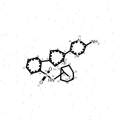 Nc1cnc(-c2ccc(-c3ccccc3S(=O)(=O)NC3CC4CCC3CC4)cc2F)cn1